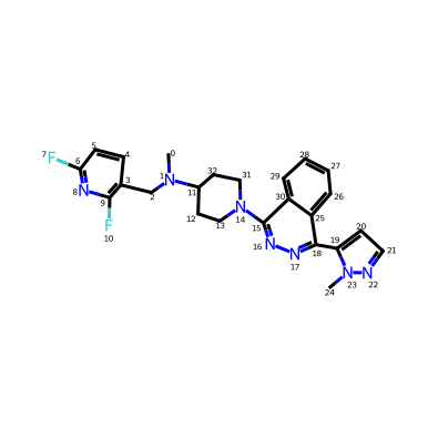 CN(Cc1ccc(F)nc1F)C1CCN(c2nnc(-c3ccnn3C)c3ccccc23)CC1